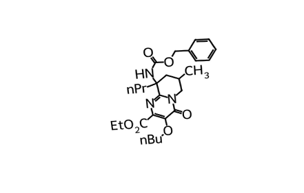 CCCCOc1c(C(=O)OCC)nc2n(c1=O)CC(C)CC2(CCC)NC(=O)OCc1ccccc1